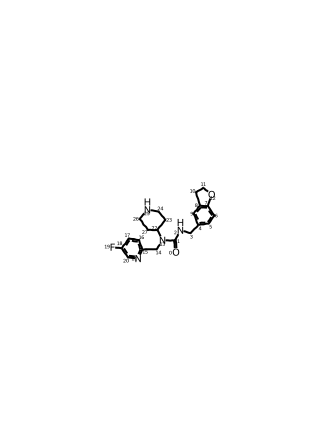 O=C(NCc1ccc2c(c1)CCO2)N(Cc1ccc(F)cn1)C1CCNCC1